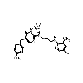 Cc1ccc(Cc2cnc(NCCCNc3ncc(Cl)cc3C)[nH]c2=O)cn1.O.O